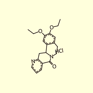 CCOc1cc2c(cc1OCC)C1Cc3ncccc3C(=O)N1CC2.Cl